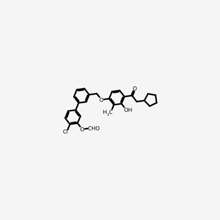 Cc1c(OCc2cccc(-c3ccc(Cl)c(OC=O)c3)c2)ccc(C(=O)CC2CCCC2)c1O